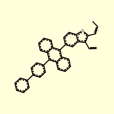 C=Cc1c(/C=C\C)oc2ccc(-c3c4ccccc4c(-c4ccc(-c5ccccc5)cc4)c4ccccc34)cc12